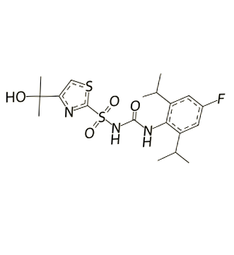 CC(C)c1cc(F)cc(C(C)C)c1NC(=O)NS(=O)(=O)c1nc(C(C)(C)O)cs1